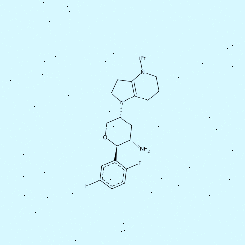 CC(C)N1CCCC2=C1CCN2[C@H]1CO[C@H](c2cc(F)ccc2F)[C@@H](N)C1